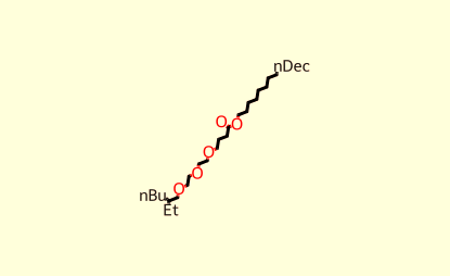 CCCCCCCCCCCCCCCCCCOC(=O)CCCOCCOCCOCC(CC)CCCC